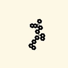 c1ccc(-n2c3cc4ccccc4cc3c3c(-c4cccc(N(c5ccc(-c6ccc(-c7cccc8ccccc78)cc6)cc5)c5cccc6ccccc56)c4)cccc32)cc1